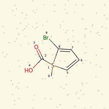 CS1(C(=O)O)C=CC=C1Br